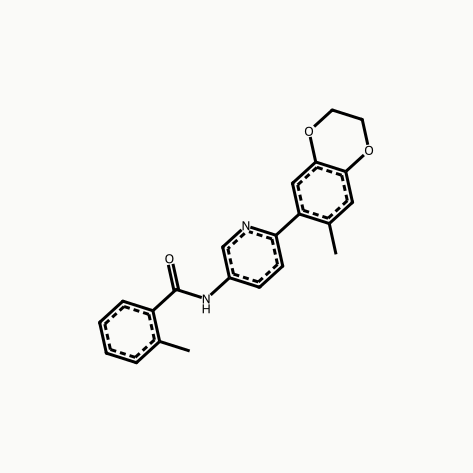 Cc1ccccc1C(=O)Nc1ccc(-c2cc3c(cc2C)OCCO3)nc1